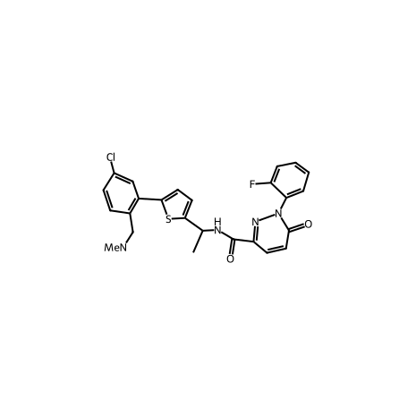 CNCc1ccc(Cl)cc1-c1ccc(C(C)NC(=O)c2ccc(=O)n(-c3ccccc3F)n2)s1